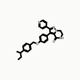 CCC(C)c1ccc(COc2ccc(-c3c(-c4ccncc4)nn4c3C(=O)NCC4)cc2)cc1